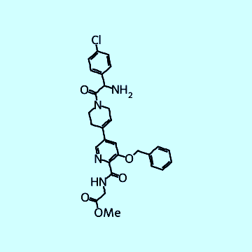 COC(=O)CNC(=O)c1ncc(C2=CCN(C(=O)C(N)c3ccc(Cl)cc3)CC2)cc1OCc1ccccc1